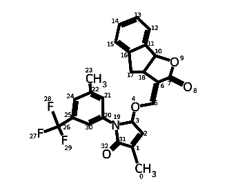 CC1=CC(O/C=C2/C(=O)OC3c4ccccc4CC23)N(c2cc(C)cc(C(F)(F)F)c2)C1=O